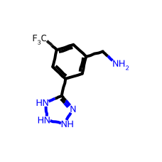 NCc1cc(C2=NNNN2)cc(C(F)(F)F)c1